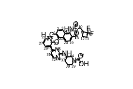 Cc1ccc2c(NS(=O)(=O)CC3CCC3(F)F)c(F)ccc2c1Oc1ncccc1-c1ccnc(NC2CCCN(C(=O)O)C2)n1